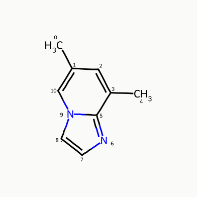 Cc1cc(C)c2nc[c]n2c1